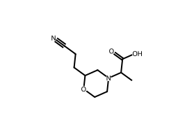 CC(C(=O)O)N1CCOC(CCC#N)C1